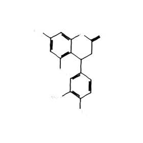 COc1cc(C2CC(=O)Oc3cc(OC(C)=O)cc(C)c32)ccc1C